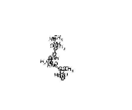 CNCCNC(=O)c1cc(-c2ccc(NC(=O)c3cc(NC(=O)CCCOc4cc5c(cc4OC)C(=O)N4CCCC4CN5)cn3C)cc2)cn1C